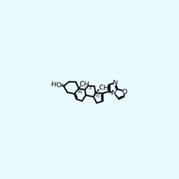 C[C@]12CC[C@H](O)CC1=CCC1C2CC[C@]2(C)C(c3cnc4occn34)=CCC12